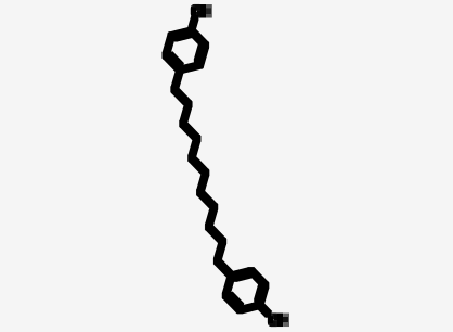 Oc1ccc(CCCCCCCCCCCc2ccc(O)cc2)cc1